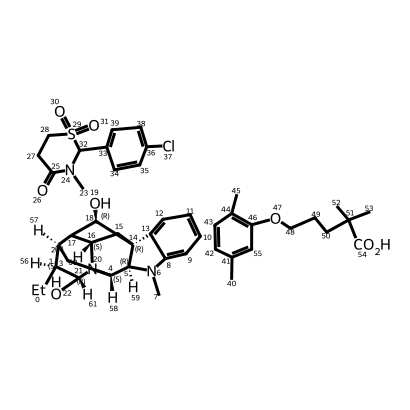 CC[C@H]1[C@@H]2C[C@H]3[C@@H]4N(C)c5ccccc5[C@]45C[C@@H](C2[C@H]5O)N3[C@@H]1O.CN1C(=O)CCS(=O)(=O)C1c1ccc(Cl)cc1.Cc1ccc(C)c(OCCCC(C)(C)C(=O)O)c1